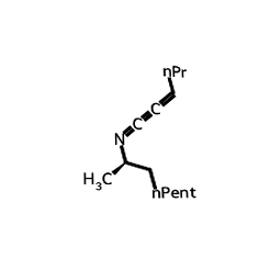 CCCC=C=C=N[C@H](C)CCCCCC